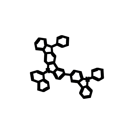 c1ccc(C2c3ccccc3-c3cc4c(cc32)c2cc(-c3ccc5c(c3)c3ccccc3n5-c3ccccc3)ccc2n4-c2cccc3ccccc23)cc1